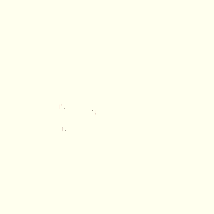 Fc1cccc(-c2n[nH]c([CH]CCc3ccccc3)n2)c1